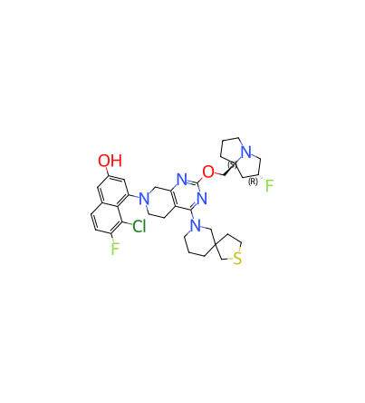 Oc1cc(N2CCc3c(nc(OC[C@@]45CCCN4C[C@H](F)C5)nc3N3CCCC4(CCSC4)C3)C2)c2c(Cl)c(F)ccc2c1